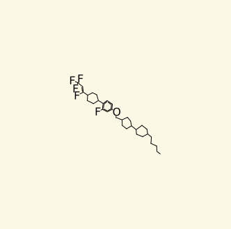 CCCCCC1CCC(C2CCC(COc3ccc(C4CCC(/C(F)=C/C(F)(F)F)CC4)c(F)c3)CC2)CC1